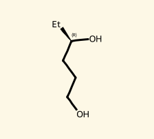 CC[C@@H](O)CCCO